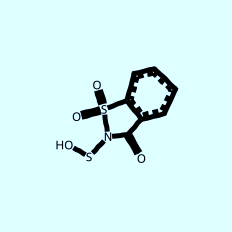 O=C1c2ccccc2S(=O)(=O)N1SO